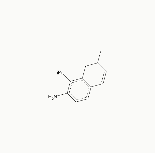 CC1C=Cc2ccc(N)c(C(C)C)c2C1